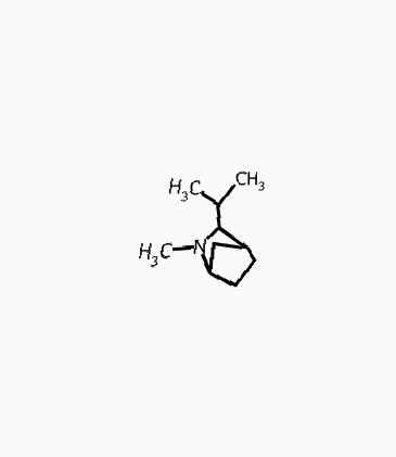 CC(C)C1C2CCC(C2)N1C